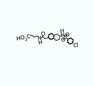 O=C(O)CCCNC(=O)Cc1ccc2c(c1)CCC(NS(=O)(=O)c1ccc(Cl)cc1)C2